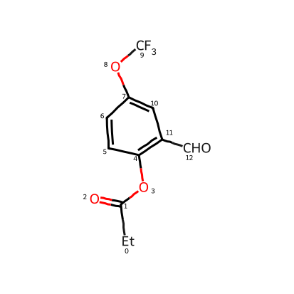 [CH2]CC(=O)Oc1ccc(OC(F)(F)F)cc1C=O